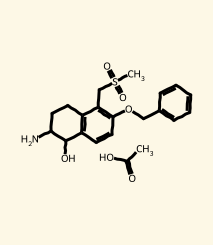 CC(=O)O.CS(=O)(=O)Cc1c(OCc2ccccc2)ccc2c1CCC(N)C2O